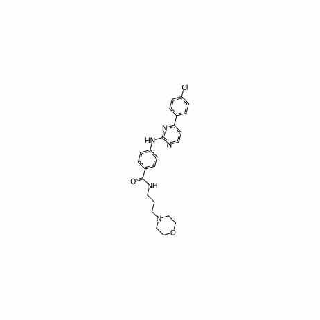 O=C(NCCCN1CCOCC1)c1ccc(Nc2nccc(-c3ccc(Cl)cc3)n2)cc1